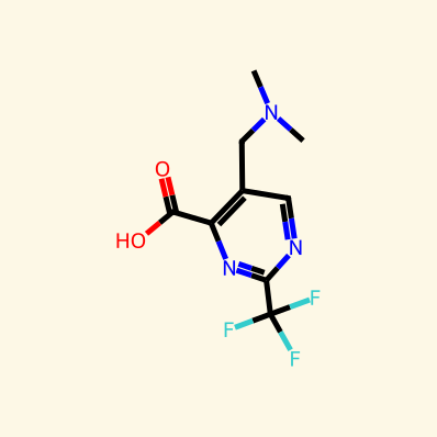 CN(C)Cc1cnc(C(F)(F)F)nc1C(=O)O